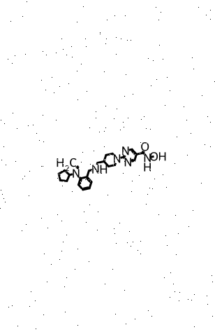 C=CN(c1ccccc1CNCC1CCN(c2ncc(C(=O)NO)cn2)CC1)C1CCCC1